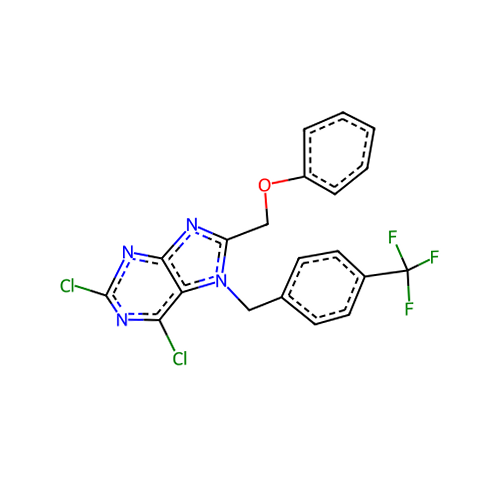 FC(F)(F)c1ccc(Cn2c(COc3ccccc3)nc3nc(Cl)nc(Cl)c32)cc1